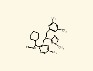 CCNC(c1ncc(C(F)(F)F)cc1CN(Cc1cc(C(F)(F)F)cc(C(F)(F)F)c1)c1nnn(C)n1)C1CCCCC1